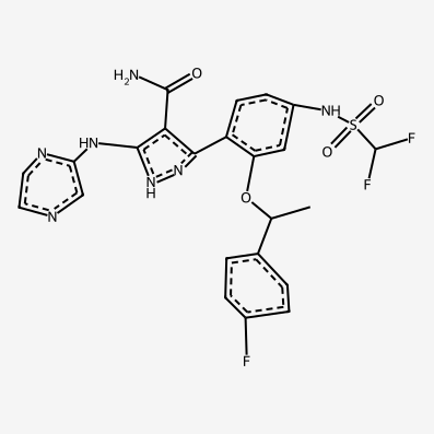 CC(Oc1cc(NS(=O)(=O)C(F)F)ccc1-c1n[nH]c(Nc2cnccn2)c1C(N)=O)c1ccc(F)cc1